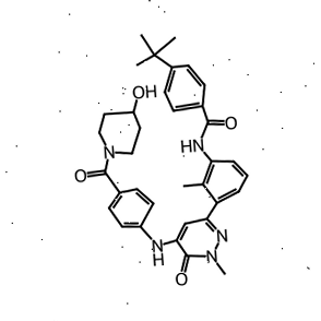 Cc1c(NC(=O)c2ccc(C(C)(C)C)cc2)cccc1-c1cc(Nc2ccc(C(=O)N3CCC(O)CC3)cc2)c(=O)n(C)n1